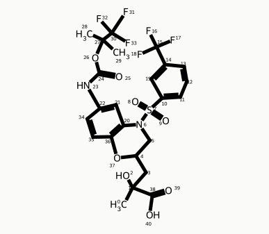 CC(O)(CC1CN(S(=O)(=O)c2cccc(C(F)(F)F)c2)c2cc(NC(=O)OC(C)(C)C(F)(F)F)ccc2O1)C(=O)O